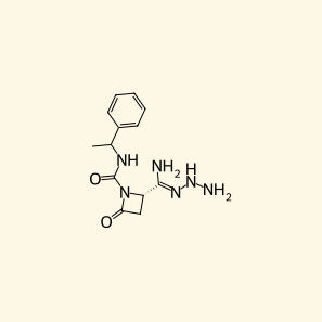 CC(NC(=O)N1C(=O)C[C@H]1/C(N)=N/NN)c1ccccc1